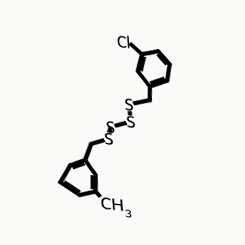 Cc1cccc(CSSSSCc2cccc(Cl)c2)c1